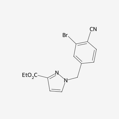 CCOC(=O)c1ccn(Cc2ccc(C#N)c(Br)c2)n1